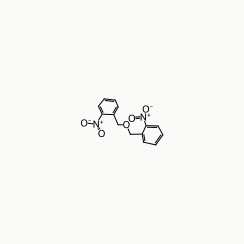 O=[N+]([O-])c1ccccc1COCc1ccccc1[N+](=O)[O-]